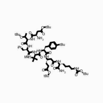 CSC(C)(C)[C@H](NC(=O)[C@@H](CC(C)C)NC(=O)[C@@H](NC(=O)[C@@H](N)CC(=O)OC(C)(C)C)C(C)OC(C)(C)C)C(=O)N[C@@H](Cc1ccc(C(C)(C)C)cc1)C(=O)N[C@@H](CCC(=O)OC(C)(C)C)CC(=O)N[C@H](CCCCNC(=O)OC(C)(C)C)C(N)=O